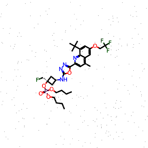 CCCCOP(=O)(OCCCC)O[C@]1(CF)C[C@H](Nc2nnc(-c3cc(C)c4cc(OCC(F)(F)F)cc(C(C)(C)C)c4n3)o2)C1